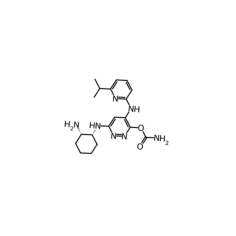 CC(C)c1cccc(Nc2cc(N[C@@H]3CCCC[C@@H]3N)nnc2OC(N)=O)n1